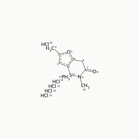 Cc1cc2c(o1)CC(=O)N(C)S2.Cl.Cl.Cl.Cl.Cl.P